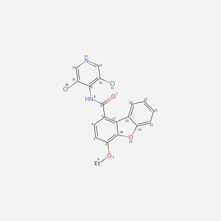 CCOc1ccc(C(=O)Nc2c(Cl)cncc2Cl)c2c1oc1ccccc12